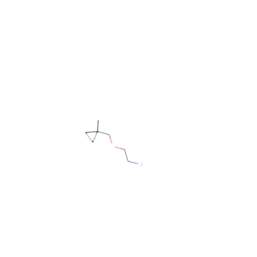 CC1(COCCN)CC1